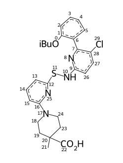 CC(C)COc1ccccc1-c1nc(NSc2cccc(N3CCC(C)(C(=O)O)CC3)n2)ccc1Cl